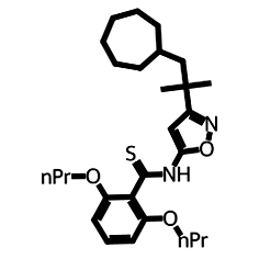 CCCOc1cccc(OCCC)c1C(=S)Nc1cc(C(C)(C)CC2CCCCCC2)no1